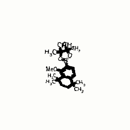 COc1c(B2OC(C)(C)C(C)(C)O2)ccc2c1C(C)(C)CCC2(C)C